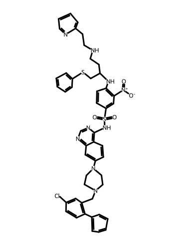 O=[N+]([O-])c1cc(S(=O)(=O)Nc2ncnc3cc(N4CCN(Cc5cc(Cl)ccc5-c5ccccc5)CC4)ccc23)ccc1NC(CCNCCc1ccccn1)CSc1ccccc1